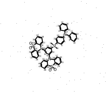 C[Si](C)(c1ccc(N(c2ccccc2)c2ccccc2)cc1)c1cc(N2c3ccccc3S(=O)(=O)c3ccccc32)cc(N2c3ccccc3S(=O)(=O)c3ccccc32)c1